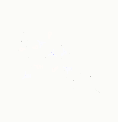 CNCC(O)C(C)(C)S(=O)(=O)C1(CN2CCn3c(cnc3C(=O)NCc3ccc(Cl)cc3)C2=O)CC1